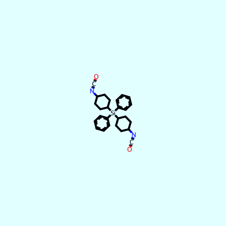 O=C=NC1CCC([Si](c2ccccc2)(c2ccccc2)C2CCC(N=C=O)CC2)CC1